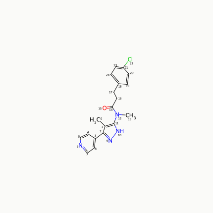 Cc1c(-c2ccncc2)n[nH]c1N(C)C(=O)CCc1ccc(Cl)cc1